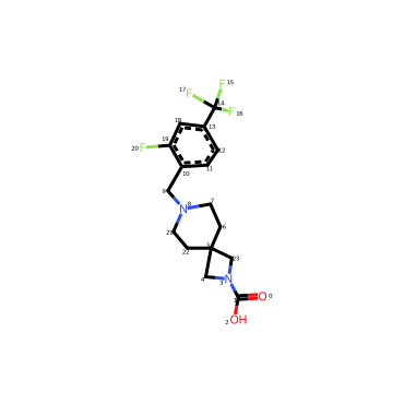 O=C(O)N1CC2(CCN(Cc3ccc(C(F)(F)F)cc3F)CC2)C1